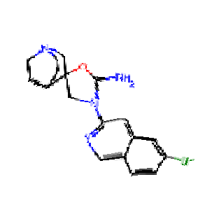 NC1OC2(CN3CCC2CC3)CN1c1cc2cc(Br)ccc2cn1